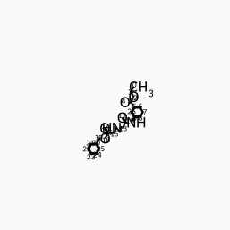 CCOC(=O)c1cccc(NC(=O)CNCC(=O)OCc2ccccc2)c1